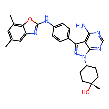 Cc1cc(C)c2oc(Nc3ccc(-c4nn([C@H]5CC[C@@](C)(O)CC5)c5ncnc(N)c45)cc3)nc2c1